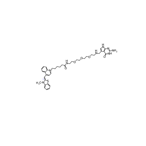 CN1/C(=C/c2cc[n+](CCCCCC(=O)NCCOCCOCCOCCNCc3c[nH]c4nc(N)[nH]c(=O)c34)c3ccccc23)Sc2ccccc21